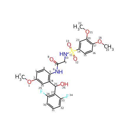 COc1ccc(NC(=O)CNS(=O)(=O)c2ccc(OC)c(OC)c2)c(C(O)c2c(F)cccc2F)c1